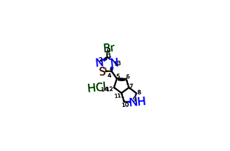 Brc1nsc(C2=CC3CNCC3C2)n1.Cl